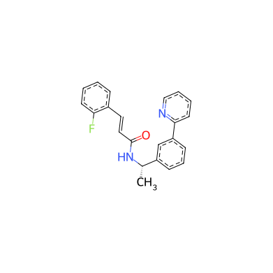 C[C@H](NC(=O)C=Cc1ccccc1F)c1cccc(-c2ccccn2)c1